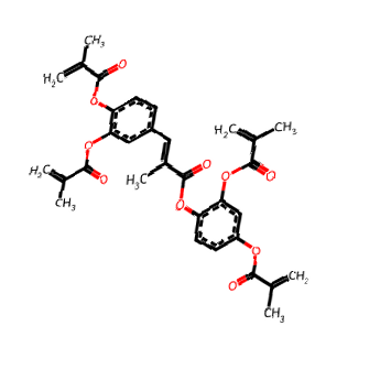 C=C(C)C(=O)Oc1ccc(OC(=O)/C(C)=C/c2ccc(OC(=O)C(=C)C)c(OC(=O)C(=C)C)c2)c(OC(=O)C(=C)C)c1